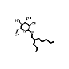 CCCCCC(CCC)COC1O[C@H](CO)[C@@H](O)[C@H](O)[C@H]1O